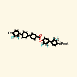 CCCCCc1ccc(-c2ccc(OC(=O)C3CCC(C4CCC(c5ccc(CC)c(F)c5F)CC4)CC3)c(F)c2F)c(F)c1F